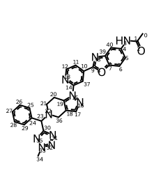 CC(=O)Nc1ccc2oc(-c3ccnc(-n4ncc5c4CCN(C(c4ccccc4)c4nnn(C)n4)C5)c3)nc2c1